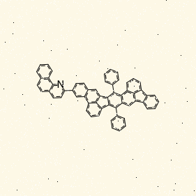 c1ccc(-c2c3cc4c5ccccc5c5cccc(c3c(-c3ccccc3)c3c6cc7ccc(-c8ccc9ccc%10ccccc%10c9n8)cc7c7cccc(c23)c76)c54)cc1